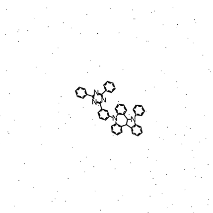 c1ccc(-c2nc(-c3ccccc3)nc(-c3cccc(N4c5ccccc5C5c6ccccc6N(c6ccccc6)C5c5ccccc54)c3)n2)cc1